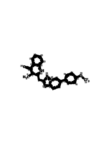 Cc1c(Cc2nc3ccc(-c4ccc(OC(F)(F)F)cc4)cn3n2)[nH]c2ccccc2c1=O